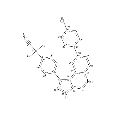 CC(C)(C#N)c1ccc(-c2n[nH]c3cnc4ccc(-c5ccc(Cl)cc5)cc4c23)cc1